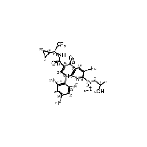 CCN(CC(C)O)c1nc2c(cc1F)c(=O)c(C(=O)N[C@@H](C1CC1)C(F)(F)F)cn2-c1c(F)cc(F)cc1F